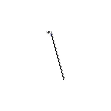 CCCCCCCCCCCCCCCCCCCCCCCC/C=C/O